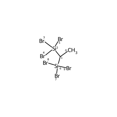 CC([Si](Br)(Br)Br)[Si](Br)(Br)Br